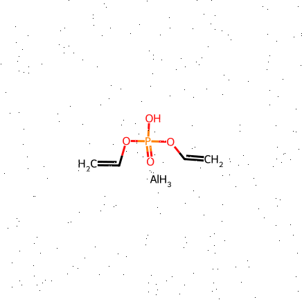 C=COP(=O)(O)OC=C.[AlH3]